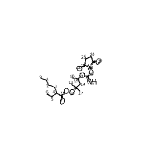 CCCCC(CC)C(=O)OOC(C)(C)CC(C)OC(=N)ON1C(=O)CCC1=O